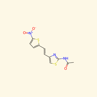 CC(=O)Nc1nc(C=Cc2ccc([N+](=O)[O-])s2)cs1